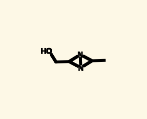 CC1N2C(CO)N12